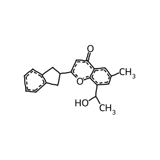 Cc1cc(C(C)O)c2oc(C3Cc4ccccc4C3)cc(=O)c2c1